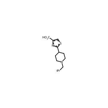 C[C](C)CN1CCC(c2nc(C(=O)O)cs2)CC1